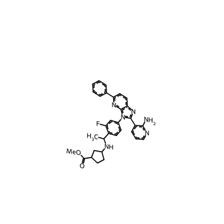 COC(=O)C1CCC(NC(C)c2ccc(-n3c(-c4cccnc4N)nc4ccc(-c5ccccc5)nc43)cc2F)C1